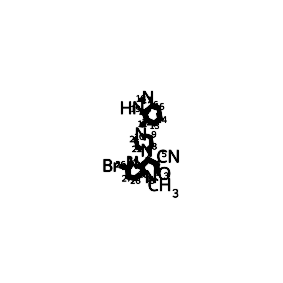 Cn1c(=O)c(C#N)c(N2CCN(Cc3cccc4nc[nH]c34)CC2)c2nc(Br)ccc21